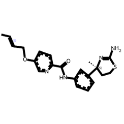 C/C=C/COc1ccc(C(=O)Nc2cccc([C@]3(C)CCSC(N)=N3)c2)nc1